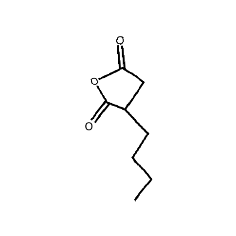 CCCCC1CC(=O)OC1=O